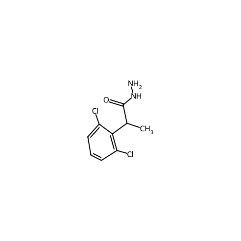 CC(C(=O)NN)c1c(Cl)cccc1Cl